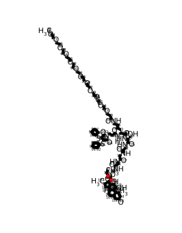 CCC(=O)O[C@]1(C(=O)COCNC(=O)CNC(=O)CNC(=O)CNC(=O)[C@H](CO)NC(=O)[C@H](CCCCNC(=O)CCOCCOCCOCCOCCOCCOCCOCCOCCOCCOCCOCCOC)NC(=O)CCN2C(=O)C(Sc3ccccc3)=C(Sc3ccccc3)C2=O)[C@@H](C)CC2[C@@H]3CCC4=CC(=O)C=C[C@]4(C)[C@@]3(Cl)[C@@H](O)C[C@@]21C